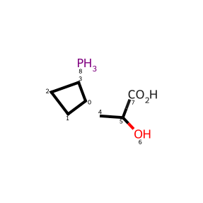 C1CCC1.CC(O)C(=O)O.P